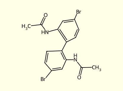 CC(=O)Nc1cc(Br)ccc1-c1ccc(Br)cc1NC(C)=O